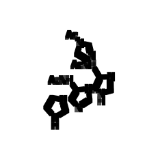 CC(=O)Nc1c[nH]cn1.CC(=O)Nc1cnc[nH]1.CC(=O)n1ccnc1.c1c[nH]cn1